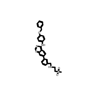 CS(=O)(=O)CCNCc1cccc(-c2ccc3c(Nc4ccc(OCc5ccccc5)cc4)ncnc3c2)c1